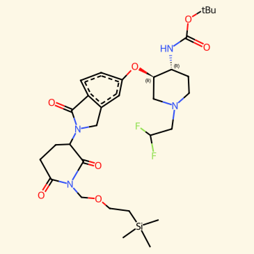 CC(C)(C)OC(=O)N[C@@H]1CCN(CC(F)F)C[C@H]1Oc1ccc2c(c1)CN(C1CCC(=O)N(COCC[Si](C)(C)C)C1=O)C2=O